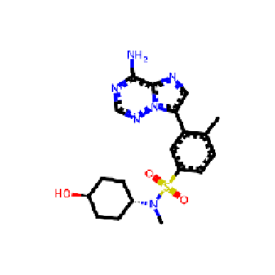 Cc1ccc(S(=O)(=O)N(C)[C@H]2CC[C@H](O)CC2)cc1-c1cnc2c(N)ncnn12